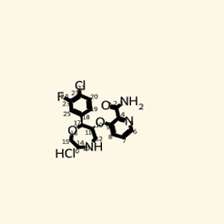 Cl.NC(=O)c1ncccc1O[C@@H]1CNCCO[C@H]1c1ccc(Cl)c(F)c1